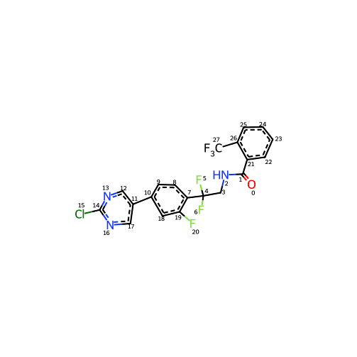 O=C(NCC(F)(F)c1ccc(-c2cnc(Cl)nc2)cc1F)c1ccccc1C(F)(F)F